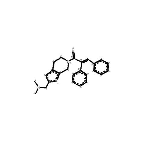 CN(C)Cc1cc2c(o1)CN(C(=O)C(=Cc1ccccc1)c1ccccc1)CC2